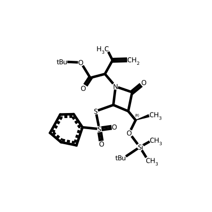 C=C(C)C(C(=O)OC(C)(C)C)N1C(=O)C([C@@H](C)O[Si](C)(C)C(C)(C)C)C1SS(=O)(=O)c1ccccc1